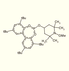 CON1C(C)(C)CC(Op2oc3c(C(C)(C)C)cc(C(C)(C)C)cc3c3cc(C(C)(C)C)cc(C(C)(C)C)c3o2)CC1(C)C